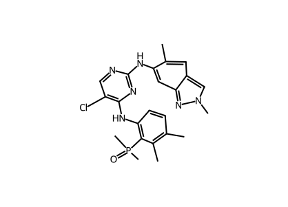 Cc1cc2cn(C)nc2cc1Nc1ncc(Cl)c(Nc2ccc(C)c(C)c2P(C)(C)=O)n1